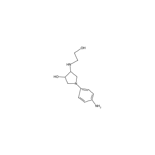 Nc1ccc(N2CC(O)C(NCCO)C2)cc1